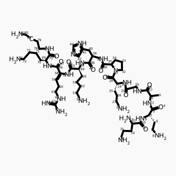 CC(NC(=O)[C@H](CCN)NC(=O)C(N)CCN)C(=O)NCC(=O)N[C@H](CCCN)C(=O)N1CCCC1C(=O)NC(Cc1cnc[nH]1)C(=O)N[C@@H](CCCCN)C(=O)N/C(=C\CCNC(=N)N)C(=O)N[C@@H](CCCCN)C(=O)NCCCCN